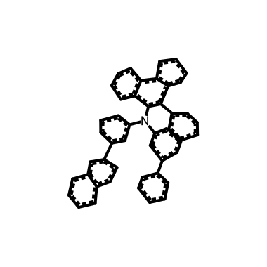 c1ccc(-c2cccc(N(c3cccc(-c4ccc5ccccc5c4)c3)c3c(-c4ccccc4)c4ccccc4c4ccccc34)c2)cc1